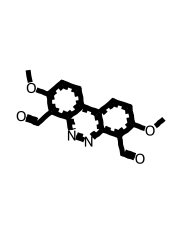 COc1ccc2c(nnc3c(C=O)c(OC)ccc32)c1C=O